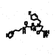 CC(C)NC(=O)CN(Cc1ccc(F)cc1)c1ncc(C(=O)NCCCn2ccnc2)s1